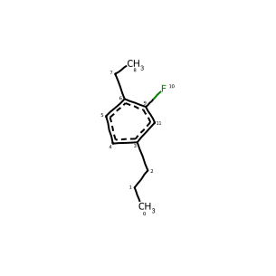 CCCc1ccc(CC)c(F)c1